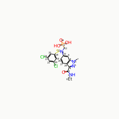 CCNC(=O)c1nn(C)c2cc(N(CP(=O)(O)O)Sc3cc(Cl)cc(Cl)c3)ccc12